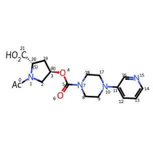 CC(=O)N1C[C@H](OC(=O)N2CCN(c3cccnc3)CC2)C[C@H]1C(=O)O